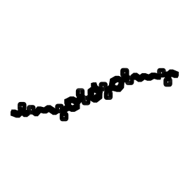 C=CC(=O)COCCCCCOC(=O)C1CCC(C(=O)Oc2ccc(OC(=O)C3CCC(C(=O)OCCCCCCOC(=O)C=C)CC3)c(C)c2)CC1